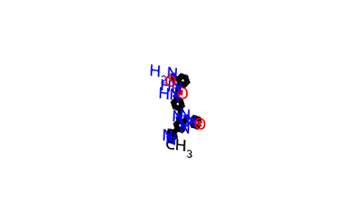 Cn1cc(-c2cnc3c(N4CCOCC4)nc(-c4ccc(NC(=O)Nc5ccccc5C(N)=O)cc4)nc3c2)cn1